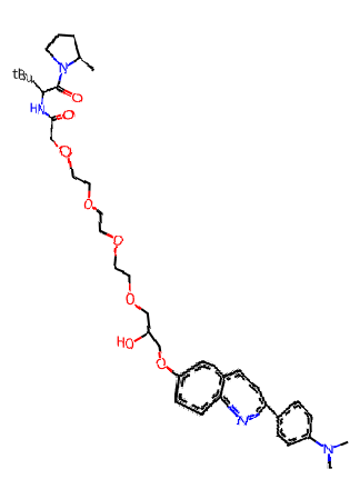 C[C@@H]1CCCN1C(=O)C(NC(=O)COCCOCCOCCOCC(O)COc1ccc2nc(-c3ccc(N(C)C)cc3)ccc2c1)C(C)(C)C